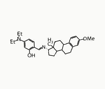 CCN(CC)c1ccc(/C=N/[C@H]2CCC3C4CCc5cc(OC)ccc5C4CCC32C)c(O)c1